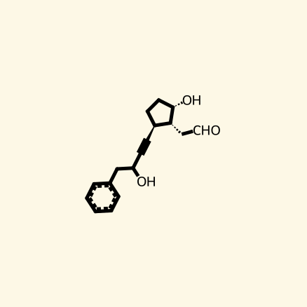 O=CC[C@H]1[C@@H](O)CC[C@@H]1C#CC(O)Cc1ccccc1